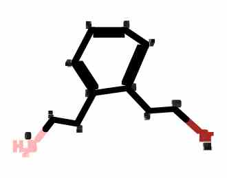 BCCc1ccccc1CCBr